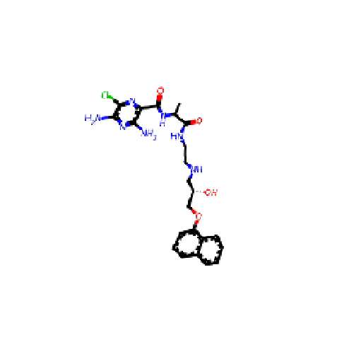 CC(NC(=O)c1nc(Cl)c(N)nc1N)C(=O)NCCNC[C@H](O)COc1cccc2ccccc12